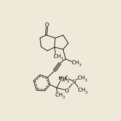 CC(C#Cc1ccccc1C(C)(C)O[Si](C)(C)C)C1CCC2C(=O)CCCC21C